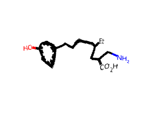 CCC(CCCc1cccc(O)c1)CC(CN)C(=O)O